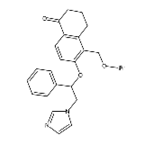 CC(C)OCc1c(OC(Cn2ccnc2)c2ccccc2)ccc2c1CCCC2=O